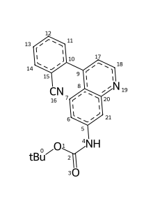 CC(C)(C)OC(=O)Nc1ccc2c(-c3ccccc3C#N)ccnc2c1